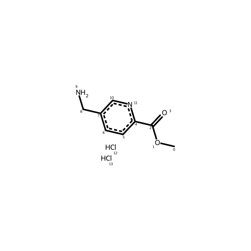 COC(=O)c1ccc(CN)cn1.Cl.Cl